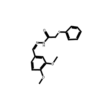 COc1ccc(/C=N\NC(=O)CSc2ccccc2)cc1OC